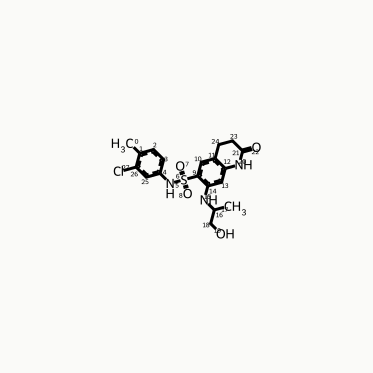 Cc1ccc(NS(=O)(=O)c2cc3c(cc2NC(C)CO)NC(=O)CC3)cc1Cl